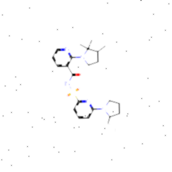 CC1CCN(c2ncccc2C(=O)NS(=O)(=O)c2cccc(N3CCCC3C(F)(F)F)n2)C1(C)C